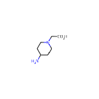 NC1CCN(CC(=O)O)CC1